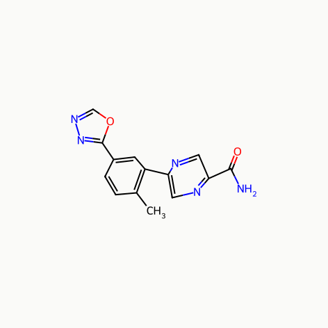 Cc1ccc(-c2nnco2)cc1-c1cnc(C(N)=O)cn1